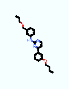 C=CCCOc1cccc(-c2ccnc(Nc3cccc(COCC=C)c3)n2)c1